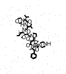 CC[C@H](C)[C@@H](C(CC(=O)N1CCC[C@H]1[C@H](OC)[C@@H](C)C(=O)N[C@H](C)[C@@H](OC(=O)N1CCNCC1)c1ccccc1)OC)N(C)C(=O)[C@@H](NC(=O)[C@H](C(C)C)N1CCOCC1)C(C)C